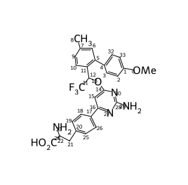 COc1ccc(-c2cc(C)ccc2C(Oc2cc(-c3ccc(C[C@H](N)C(=O)O)cc3)nc(N)n2)C(F)(F)F)cc1